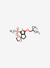 CC(C)COc1sc(S(C)(=O)=O)c2c1CCC21OCCO1